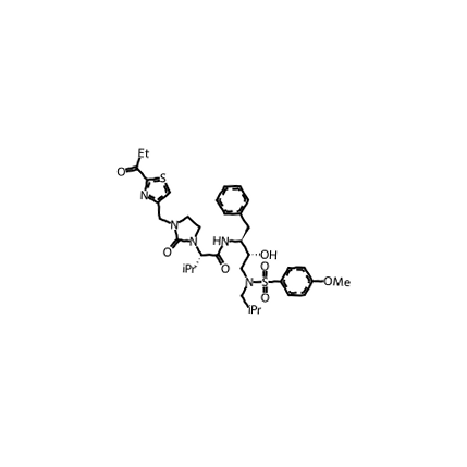 CCC(=O)c1nc(CN2CCN([C@H](C(=O)N[C@@H](Cc3ccccc3)[C@H](O)CN(CC(C)C)S(=O)(=O)c3ccc(OC)cc3)C(C)C)C2=O)cs1